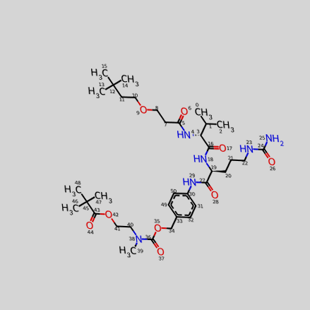 CC(C)[C@@H](NC(=O)CCOCCC(C)(C)C)C(=O)N[C@@H](CCCNC(N)=O)C(=O)Nc1ccc(COC(=O)N(C)CCOC(=O)C(C)(C)C)cc1